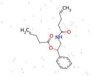 C=CCCC(=O)NCC(OC(=O)CCC=C)c1ccccc1